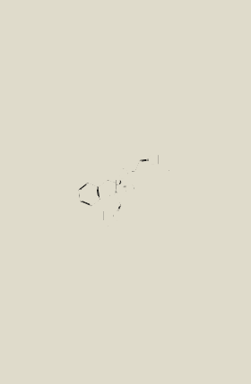 C=CCOP(=O)(Cc1ccccc1)OC=C